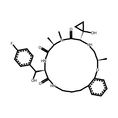 C[C@@H]1CN[C@@H](C2(O)CC2)C(=O)N(C)[C@H](C)C(=O)N[C@H](C(O)c2ccc(F)cc2)C(=O)NCCCc2ccccc2O1